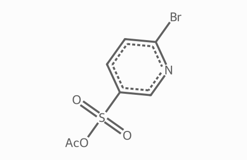 CC(=O)OS(=O)(=O)c1ccc(Br)nc1